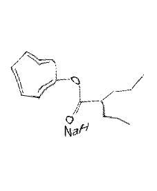 CCCC(CC)C(=O)Oc1ccccc1.[NaH]